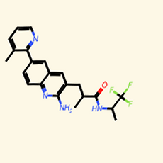 Cc1cccnc1-c1ccc2nc(N)c(CC(C)C(=O)NC(C)C(F)(F)F)cc2c1